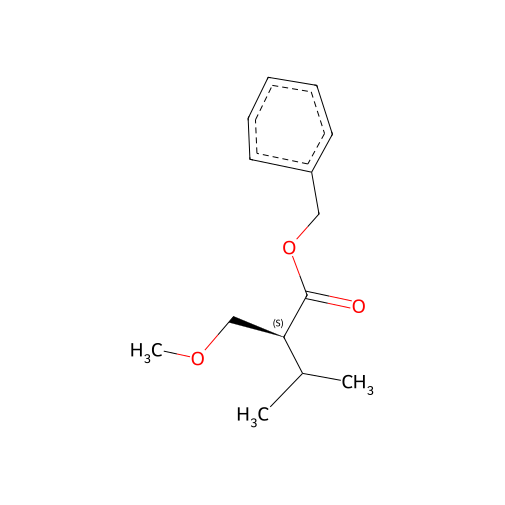 COC[C@@H](C(=O)OCc1ccccc1)C(C)C